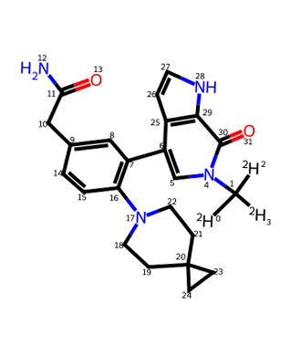 [2H]C([2H])([2H])n1cc(-c2cc(CC(N)=O)ccc2N2CCC3(CC2)CC3)c2cc[nH]c2c1=O